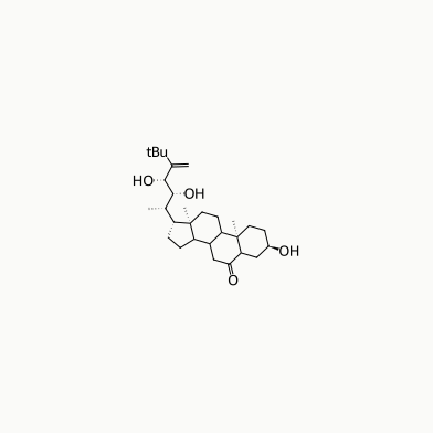 C=C([C@@H](O)[C@H](O)[C@@H](C)[C@H]1CCC2C3CC(=O)C4C[C@H](O)CC[C@]4(C)C3CC[C@@]21C)C(C)(C)C